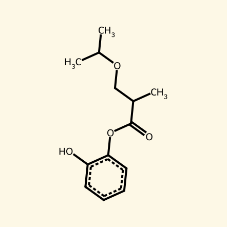 CC(C)OCC(C)C(=O)Oc1ccccc1O